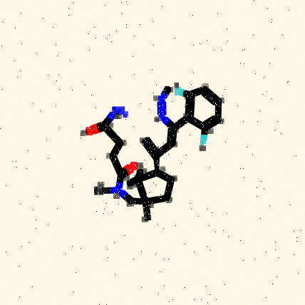 C=C(/C=C(\N=N/C)c1c(F)cccc1F)[C@H]1CCC(C)(CN(CC)C(=O)CCC(N)=O)C1(C)C